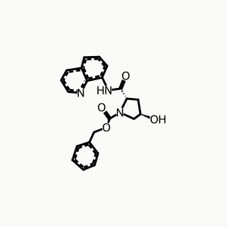 O=C(Nc1cccc2cccnc12)[C@@H]1C[C@@H](O)CN1C(=O)OCc1ccccc1